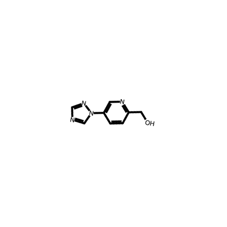 OCc1ccc(-n2cncn2)cn1